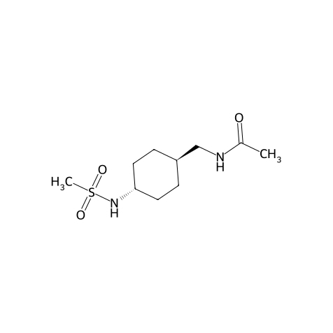 CC(=O)NC[C@H]1CC[C@H](NS(C)(=O)=O)CC1